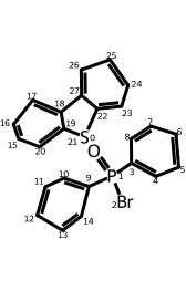 O=P(Br)(c1ccccc1)c1ccccc1.c1ccc2c(c1)sc1ccccc12